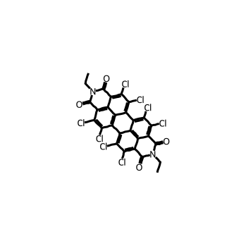 CCN1C(=O)c2c(Cl)c(Cl)c3c4c(Cl)c(Cl)c5c6c(c(Cl)c(Cl)c(c7c(Cl)c(Cl)c(c2c37)C1=O)c64)C(=O)N(CC)C5=O